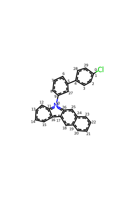 Clc1ccc(-c2cccc(-n3c4ccccc4c4cc5ccccc5cc43)c2)cc1